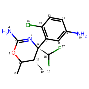 CC1OC(N)=N[C@](c2cc(N)ccc2Cl)(C(F)F)[C@@H]1C